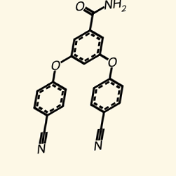 N#Cc1ccc(Oc2cc(Oc3ccc(C#N)cc3)cc(C(N)=O)c2)cc1